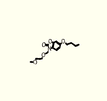 CCCCOc1ccc2c(c1)oc(=O)n2COCCOC